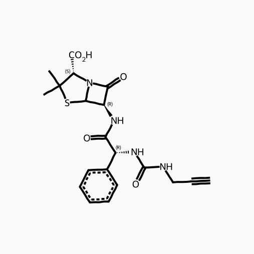 C#CCNC(=O)N[C@@H](C(=O)N[C@@H]1C(=O)N2C1SC(C)(C)[C@@H]2C(=O)O)c1ccccc1